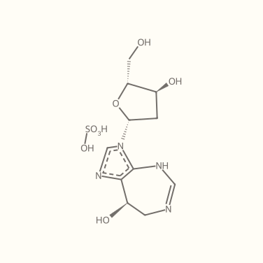 O=S(=O)(O)O.OC[C@H]1O[C@@H](n2cnc3c2NC=NC[C@H]3O)C[C@@H]1O